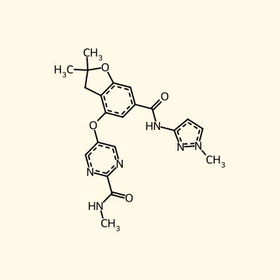 CNC(=O)c1ncc(Oc2cc(C(=O)Nc3ccn(C)n3)cc3c2CC(C)(C)O3)cn1